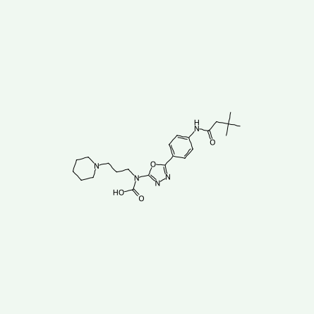 CC(C)(C)CC(=O)Nc1ccc(-c2nnc(N(CCCN3CCCCC3)C(=O)O)o2)cc1